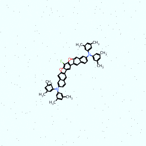 Cc1cc(C)cc(N(c2cc(C)cc(C)c2)c2ccc3cc4c(cc3c2)oc2c(F)c3oc5cc6cc(N(c7cc(C)cc(C)c7)c7cc(C)cc(C)c7)ccc6cc5c3cc24)c1